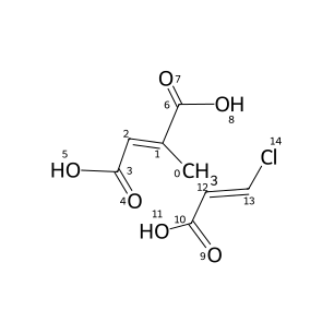 C/C(=C\C(=O)O)C(=O)O.O=C(O)C=CCl